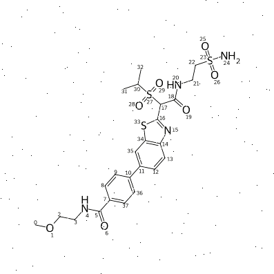 COCCNC(=O)c1ccc(-c2ccc3nc(C(C(=O)NCCS(N)(=O)=O)S(=O)(=O)C(C)C)sc3c2)cc1